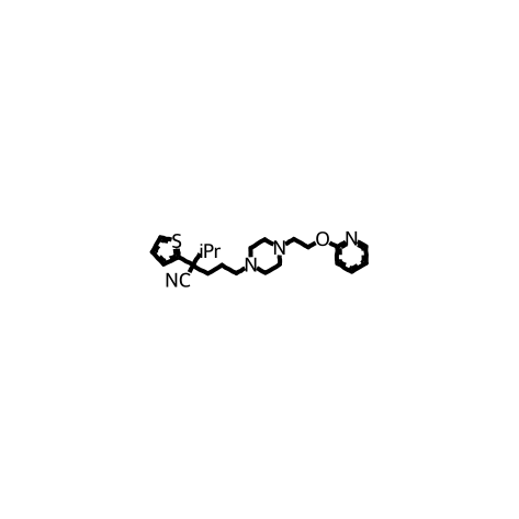 CC(C)C(C#N)(CCCN1CCN(CCOc2ccccn2)CC1)c1cccs1